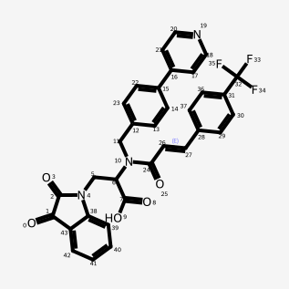 O=C1C(=O)N(CC(C(=O)O)N(Cc2ccc(-c3ccncc3)cc2)C(=O)/C=C/c2ccc(C(F)(F)F)cc2)c2ccccc21